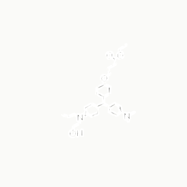 CCC[N+](CCO)=C1C=CC(=C(c2ccc(OCCCC(=O)OCC)cc2)c2ccc(N(C)C)cc2)C=C1